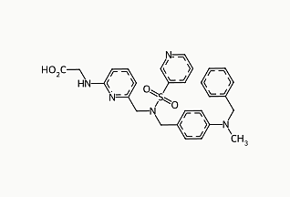 CN(Cc1ccccc1)c1ccc(CN(Cc2cccc(NCC(=O)O)n2)S(=O)(=O)c2cccnc2)cc1